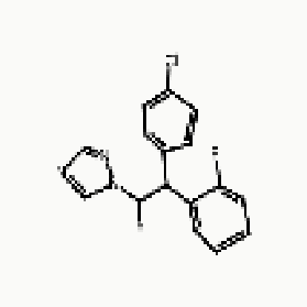 Fc1ccccc1C(c1ccc(Cl)cc1)C(F)n1cncn1